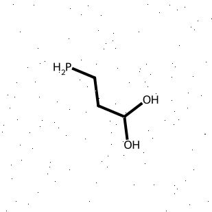 OC(O)CCP